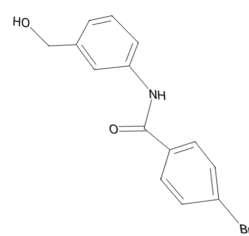 O=C(Nc1cccc(CO)c1)c1ccc(Br)cc1